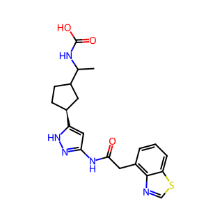 CC(NC(=O)O)C1CC[C@H](c2cc(NC(=O)Cc3cccc4scnc34)n[nH]2)C1